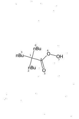 CCCCC(CCCC)(CCCC)C(=O)OO